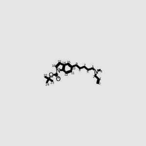 C=CCN(C)CCCCCc1ccc2c(ccn2C(=O)OC(C)(C)C)c1